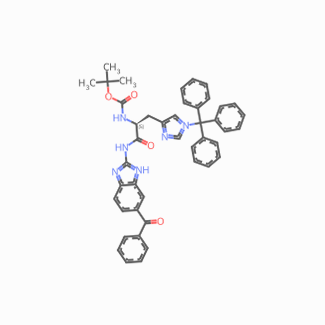 CC(C)(C)OC(=O)N[C@@H](Cc1cn(C(c2ccccc2)(c2ccccc2)c2ccccc2)cn1)C(=O)Nc1nc2ccc(C(=O)c3ccccc3)cc2[nH]1